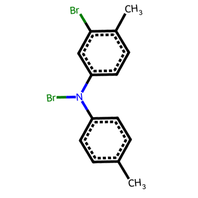 Cc1ccc(N(Br)c2ccc(C)c(Br)c2)cc1